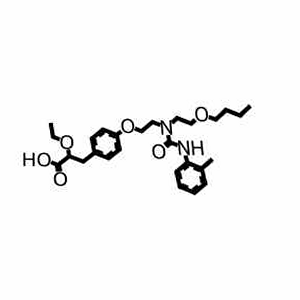 CCCCOCCN(CCOc1ccc(CC(OCC)C(=O)O)cc1)C(=O)Nc1ccccc1C